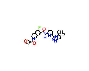 C[C@H]1CCc2nnc(-c3cccc(NC(=O)c4cc5c(cc4F)CCN(C(=O)[C@@H]4CCOC4)C5)n3)n21